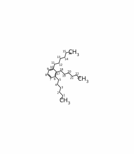 CCCCCCc1cccc(CCCCCC)c1CCCCCC